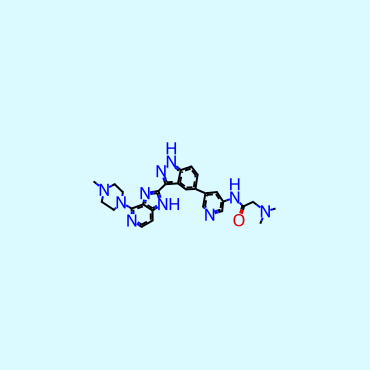 CN(C)CC(=O)Nc1cncc(-c2ccc3[nH]nc(-c4nc5c(N6CCN(C)CC6)nccc5[nH]4)c3c2)c1